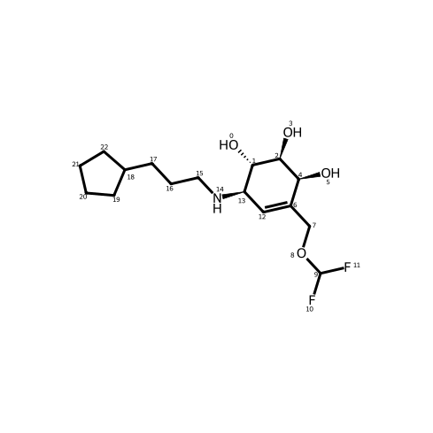 O[C@@H]1[C@@H](O)[C@@H](O)C(COC(F)F)=C[C@H]1NCCCC1CCCC1